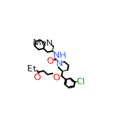 CCC(=O)CCCO[C@@H](c1cccc(Cl)c1)[C@@H]1CCCN(C(=O)N[C@H](CNC)CC2CCCCC2)C1